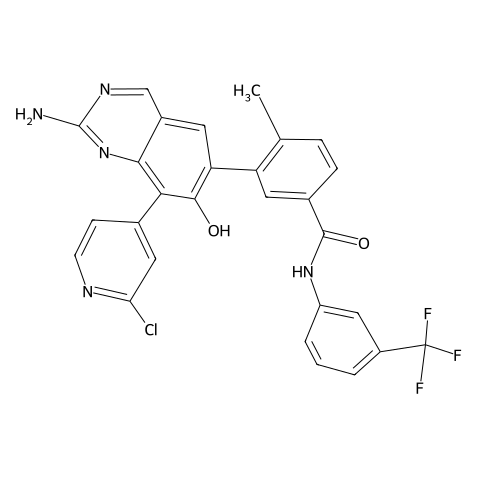 Cc1ccc(C(=O)Nc2cccc(C(F)(F)F)c2)cc1-c1cc2cnc(N)nc2c(-c2ccnc(Cl)c2)c1O